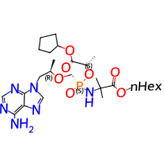 CCCCCCOC(=O)C(C)(C)N[P@](=O)(CO[C@H](C)Cn1cnc2c(N)ncnc21)O[C@@H](C)C(=O)OC1CCCC1